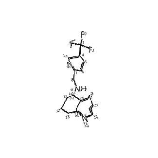 FC(F)(F)c1ccc(CN[C@H]2CCCc3nccnc32)nc1